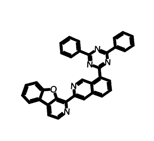 c1ccc(-c2nc(-c3ccccc3)nc(-c3cccc4cc(-c5nccc6c5oc5ccccc56)ncc34)n2)cc1